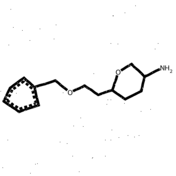 NC1CCC(CCOCc2ccccc2)OC1